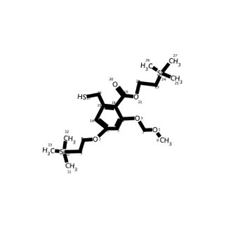 COCOc1cc(OCC[Si](C)(C)C)cc(CS)c1C(=O)OCC[Si](C)(C)C